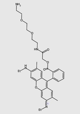 CC/N=c1\cc2oc3cc(NCC)c(C)cc3c(-c3ccccc3C(=O)OCC(=O)NCCOCCOCCN)c-2cc1C